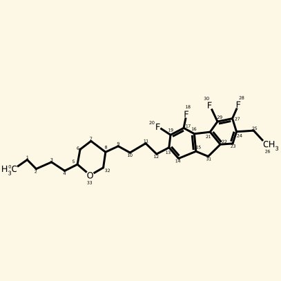 CCCCCC1CCC(CCCCc2cc3c(c(F)c2F)-c2c(cc(CC)c(F)c2F)C3)CO1